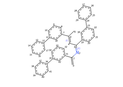 C=C(/N=C(\C=C(/C)c1cccc(-c2ccccc2)c1)c1cccc(-c2ccccc2)c1)c1cccc(-c2ccccc2)c1